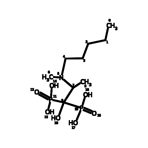 CCCCCN(C)C(C)C(O)(P(=O)(O)O)P(=O)(O)O